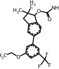 CCOc1cc(-c2ccc3c(c2)CC(C)(C)C3OC(N)=O)cc(C(F)(F)F)c1